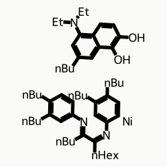 CCCCCCC(=Nc1ccc(CCCC)c(CCCC)c1)C(CCCC)=Nc1ccc(CCCC)c(CCCC)c1.CCCCc1cc(N(CC)CC)c2ccc(O)c(O)c2c1.[Ni]